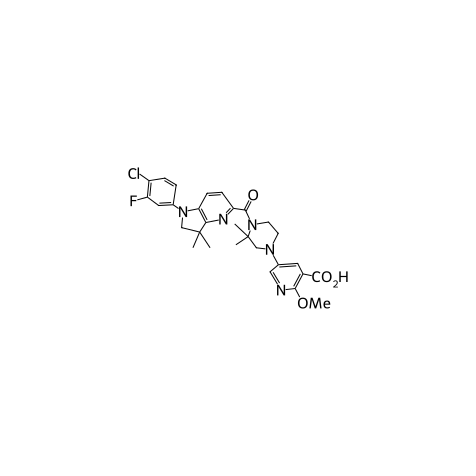 COc1ncc(N2CCN(C(=O)c3ccc4c(n3)C(C)(C)CN4c3ccc(Cl)c(F)c3)C(C)(C)C2)cc1C(=O)O